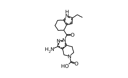 CCc1cc2c([nH]1)CCCC2C(=O)n1nc(N)c2c1CCN(C(=O)O)C2